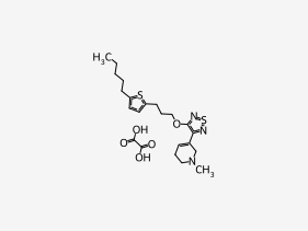 CCCCCc1ccc(CCCOc2nsnc2C2=CCCN(C)C2)s1.O=C(O)C(=O)O